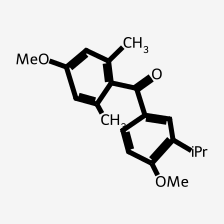 COc1cc(C)c(C(=O)c2ccc(OC)c(C(C)C)c2)c(C)c1